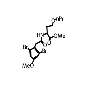 CCCOCCC(NC(=O)Cc1c(Br)cc(OC)cc1Br)C(=O)OC